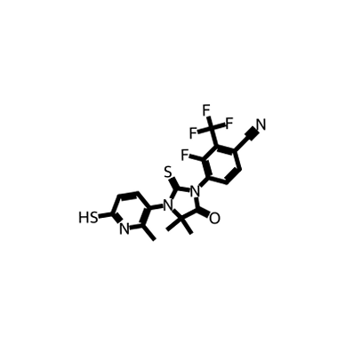 Cc1nc(S)ccc1N1C(=S)N(c2ccc(C#N)c(C(F)(F)F)c2F)C(=O)C1(C)C